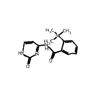 C[Si](C)(C)c1ccccc1C(=O)Nc1cc[nH]c(=O)n1